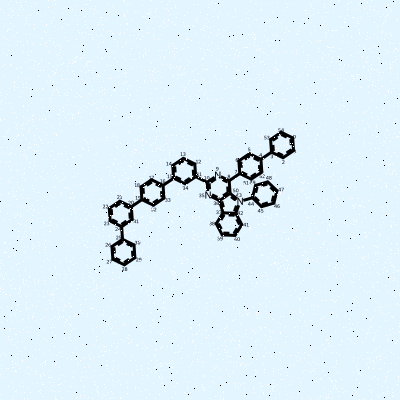 c1ccc(-c2ccc(-c3nc(-c4cccc(-c5ccc(-c6cccc(-c7ccccc7)c6)cc5)c4)nc4c5ccccc5n(-c5ccccc5)c34)cc2)cc1